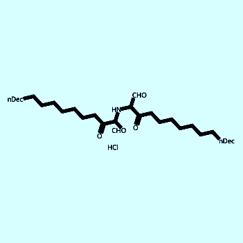 CCCCCCCCCCCCCCCCCC(=O)C(C=O)NC(C=O)C(=O)CCCCCCCCCCCCCCCCC.Cl